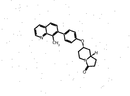 Cc1c(-c2ccc(O[C@@H]3CCN4C(=O)CC[C@H]4C3)cc2)ccc2cccnc12